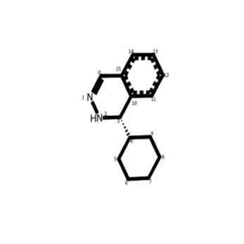 C1=NN[C@@H](C2CCCCC2)c2ccccc21